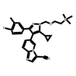 Cc1cc(-c2nn(COCC[Si](C)(C)C)c(C3CC3)c2-c2ccc3ncc(C#N)n3c2)ccc1F